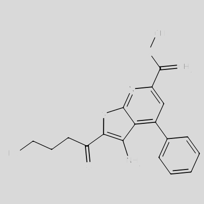 C=C(SC)c1cc(-c2ccccc2)c2c(N)c(C(=O)CCCC)sc2n1